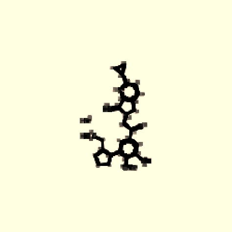 Br.COc1c(N2CCCC2CC(=O)O)cc(C(=O)CN2Cc3ccc(C4CC4)nc3C2=N)cc1C(C)(C)C